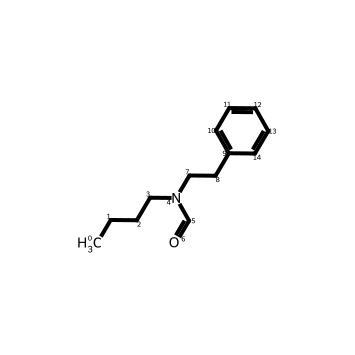 CCCCN(C=O)CCc1ccccc1